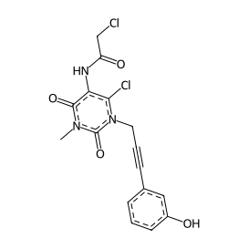 Cn1c(=O)c(NC(=O)CCl)c(Cl)n(CC#Cc2cccc(O)c2)c1=O